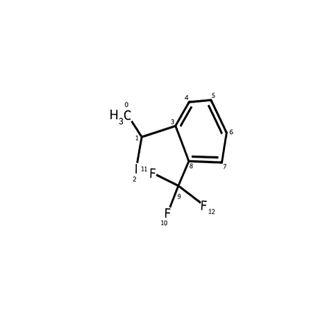 CC(I)c1ccccc1C(F)(F)F